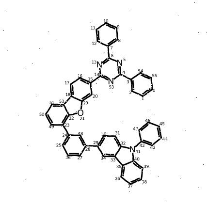 c1ccc(-c2nc(-c3ccccc3)nc(-c3ccc4c(c3)oc3c(-c5cccc(-c6ccc7c(c6)c6ccccc6n7-c6ccccc6)c5)cccc34)n2)cc1